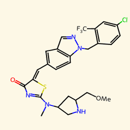 COCC1CC(N(C)C2=NC(=O)/C(=C/c3ccc4c(cnn4Cc4ccc(Cl)cc4C(F)(F)F)c3)S2)CN1